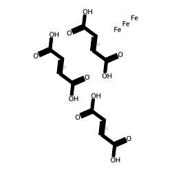 O=C(O)/C=C/C(=O)O.O=C(O)/C=C/C(=O)O.O=C(O)/C=C/C(=O)O.[Fe].[Fe].[Fe]